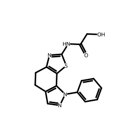 O=C(CO)Nc1nc2c(s1)-c1c(cnn1-c1ccccc1)CC2